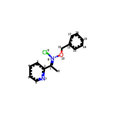 CC(c1ccccn1)=[N+](Cl)OCc1ccccc1